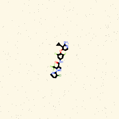 Nc1nccc(Oc2c(F)cc(NC(=O)c3cnn(-c4ncccc4Cl)c3C(F)(F)F)cc2F)c1C1CC1